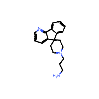 NCCCN1CCC2(CC1)c1ccccc1-c1ncccc12